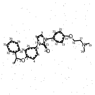 CC(Oc1ccc(-n2ccn(-c3ccc(OCCN(C)C)cc3)c2=O)cc1)c1ccccc1